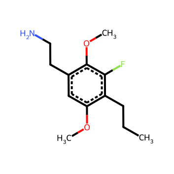 CCCc1c(OC)cc(CCN)c(OC)c1F